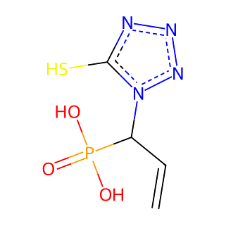 C=CC(n1nnnc1S)P(=O)(O)O